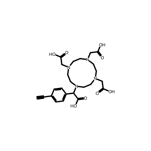 C#Cc1ccc(C(C(=O)O)N2CCN(CC(=O)O)CCN(CC(=O)O)CCN(CC(=O)O)CC2)cc1